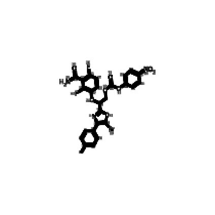 Cc1ccc(-c2nc(C(COC(=O)Oc3ccc([N+](=O)[O-])cc3)Oc3ccc(F)c(C(N)=O)c3F)oc2Br)cc1